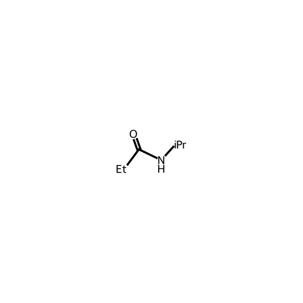 [CH2]C(C)NC(=O)CC